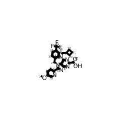 COc1ccc(-c2nc3nc(C(=O)O)nc(N[C@H](C)C4CCC4)c3n2Cc2ccc(C(F)(F)F)cc2)nc1